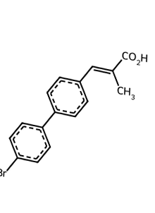 CC(=Cc1ccc(-c2ccc(Br)cc2)cc1)C(=O)O